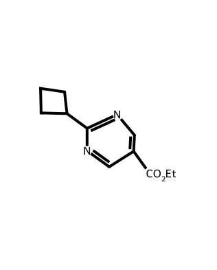 CCOC(=O)c1cnc(C2CCC2)nc1